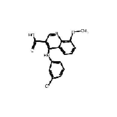 COc1cccc2c(Nc3cccc(Cl)c3)c(C(=O)O)cnc12